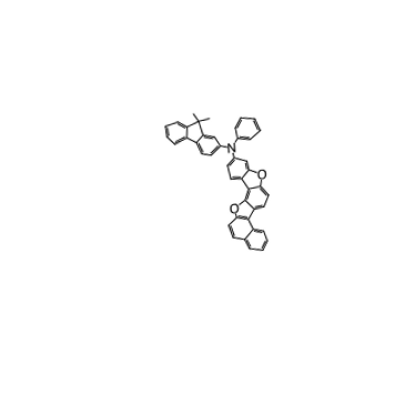 CC1(C)c2ccccc2-c2ccc(N(c3ccccc3)c3ccc4c(c3)oc3ccc5c(oc6ccc7ccccc7c65)c34)cc21